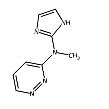 CN(c1cccnn1)c1ncc[nH]1